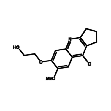 COc1cc2c(Cl)c3c(nc2cc1OCCO)CCC3